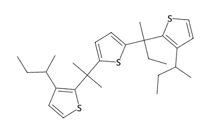 CCC(C)c1ccsc1C(C)(C)c1ccc(C(C)(CC)c2sccc2C(C)CC)s1